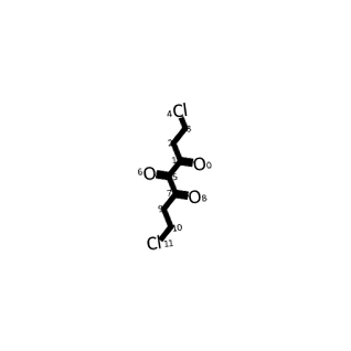 O=C(CCCl)C(=O)C(=O)CCCl